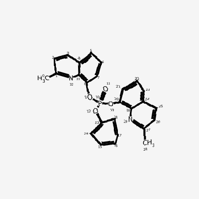 Cc1ccc2cccc(OP(=O)(Oc3ccccc3)Oc3cccc4ccc(C)nc34)c2n1